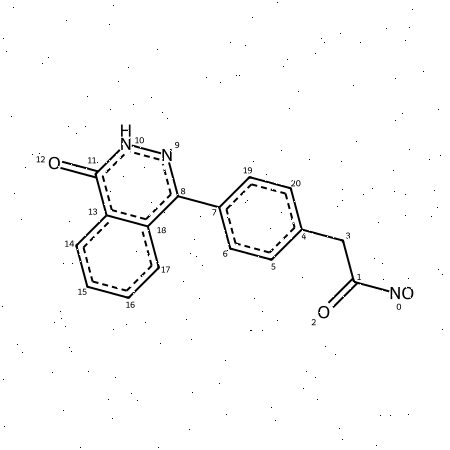 O=NC(=O)Cc1ccc(-c2n[nH]c(=O)c3ccccc23)cc1